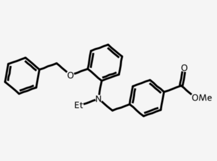 CCN(Cc1ccc(C(=O)OC)cc1)c1ccccc1OCc1ccccc1